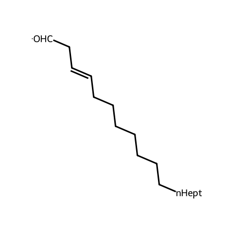 CCCCCCCCCCCCCCC=CC[C]=O